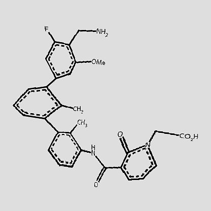 COc1cc(-c2cccc(-c3cccc(NC(=O)c4cccn(CC(=O)O)c4=O)c3C)c2C)cc(F)c1CN